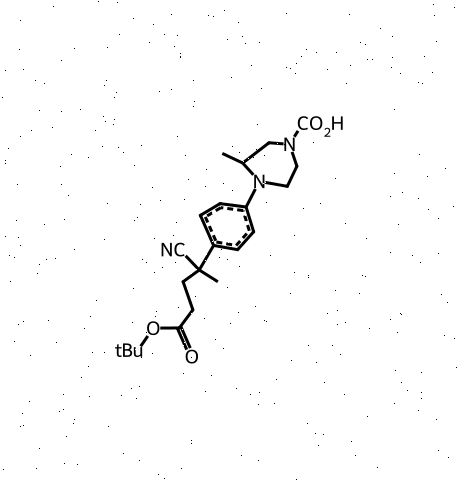 CC1CN(C(=O)O)CCN1c1ccc(C(C)(C#N)CCC(=O)OC(C)(C)C)cc1